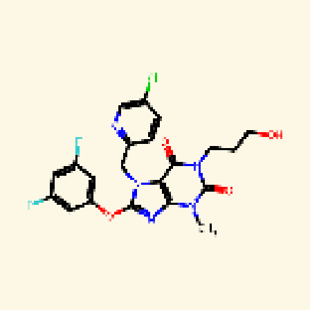 Cn1c(=O)n(CCCO)c(=O)c2c1nc(Oc1cc(F)cc(F)c1)n2Cc1ccc(Cl)cn1